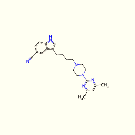 Cc1cc(C)nc(N2CCN(CCCCc3c[nH]c4ccc(C#N)cc34)CC2)n1